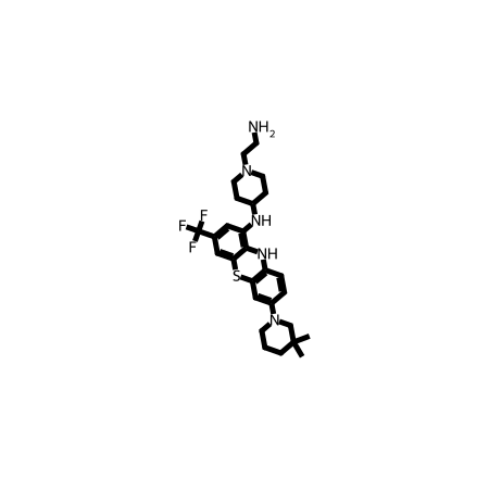 CC1(C)CCCN(c2ccc3c(c2)Sc2cc(C(F)(F)F)cc(NC4CCN(CCN)CC4)c2N3)C1